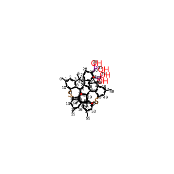 Cc1cc(C(C)(C)C)c2c(c1)sc1cc(C)cc(C(C)(C)C)c1c1c2c2c3ccc(P(O)O)c(P(O)O)c3c2c2c3c(C(C)(C)C)cc(C)cc3sc3cc(C)cc(C(C)(C)C)c3c12